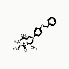 CC(C)=CCN(C[C@H](C)NC(=O)OC(C)(C)C)c1ccc(OCc2ccccc2)cc1